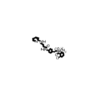 Cc1cccc(Cl)c1C(=O)NC(Cc1ccc(NC(=O)CCCNc2ccccn2)cc1)C(=O)O